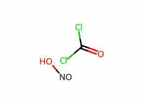 O=C(Cl)Cl.O=NO